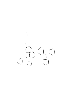 CCCCCc1cccc([SiH2]C(c2ccccc2)(c2ccccc2)n2ccnc2)c1.c1ccc(B(c2ccccc2)c2ccccc2)cc1